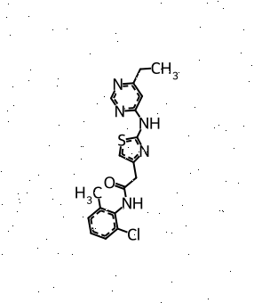 CCc1cc(Nc2nc(CC(=O)Nc3c(C)cccc3Cl)cs2)ncn1